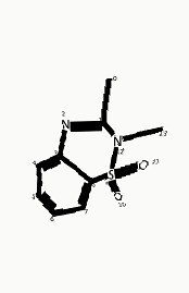 CC1=Nc2ccccc2S(=O)(=O)N1C